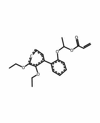 C=CC(=O)OC(C)Oc1ccccc1-c1cccc(OCC)c1OCC